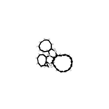 c1cccccc2c3c(ccccc1)OC14CC1CCCCCC4P3C1CCCCCCCC1O2